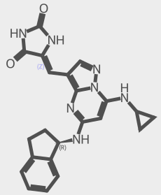 O=C1NC(=O)/C(=C/c2cnn3c(NC4CC4)cc(N[C@@H]4CCc5ccccc54)nc23)N1